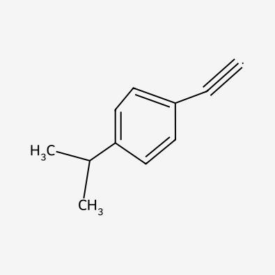 [C]#Cc1ccc(C(C)C)cc1